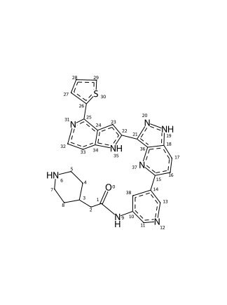 O=C(CC1CCNCC1)Nc1cncc(-c2ccc3[nH]nc(-c4cc5c(-c6cccs6)nccc5[nH]4)c3n2)c1